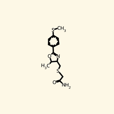 CSc1ccc(C2=NC(CSCC(N)=O)C(C)O2)cc1